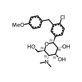 COc1ccc(Cc2cc([C@@H]3O[C@H](CO)[C@@H](N(C)C)[C@H](O)[C@H]3O)ccc2Cl)cc1